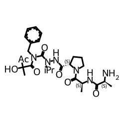 CC(=O)C(C)(O)C(=O)N(Cc1ccccc1)C(=O)N(NC(=O)[C@@H]1CCCN1C(=O)[C@H](C)NC(=O)[C@H](C)N)C(C)C